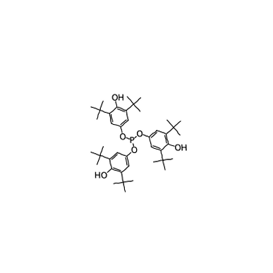 CC(C)(C)c1cc(OP(Oc2cc(C(C)(C)C)c(O)c(C(C)(C)C)c2)Oc2cc(C(C)(C)C)c(O)c(C(C)(C)C)c2)cc(C(C)(C)C)c1O